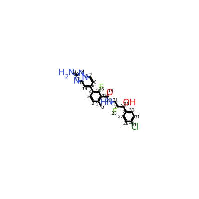 Cc1ccc(-c2ccn3nc(N)nc3c2)c(F)c1C(=O)NC[C@H](F)[C@@H](O)c1ccc(Cl)cc1